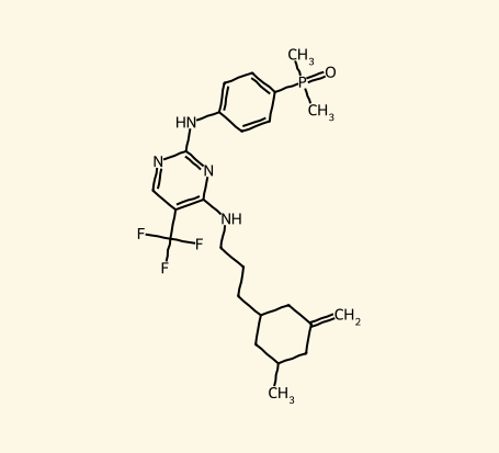 C=C1CC(C)CC(CCCNc2nc(Nc3ccc(P(C)(C)=O)cc3)ncc2C(F)(F)F)C1